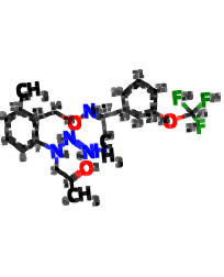 CC(=O)CN(N=N)c1cccc(C)c1CON=C(C)c1cccc(OC(F)(F)F)c1